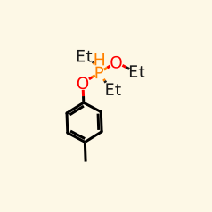 CCO[PH](CC)(CC)Oc1ccc(C)cc1